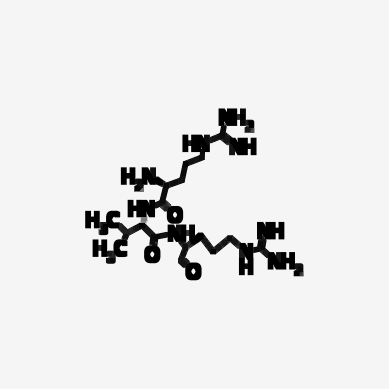 CC(C)[C@H](NC(=O)[C@@H](N)CCCNC(=N)N)C(=O)N[C@H](C=O)CCCNC(=N)N